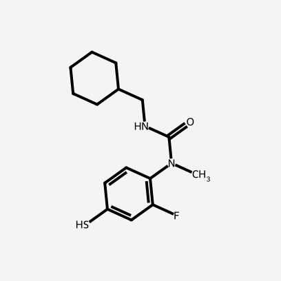 CN(C(=O)NCC1CCCCC1)c1ccc(S)cc1F